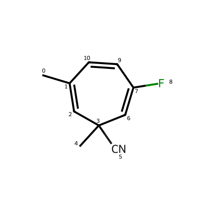 CC1=CC(C)(C#N)C=C(F)C=C1